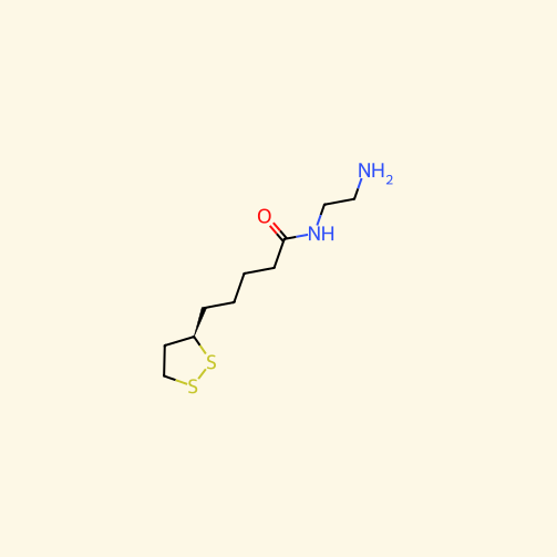 NCCNC(=O)CCCC[C@@H]1CCSS1